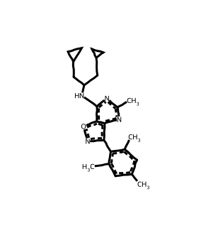 Cc1cc(C)c(-c2noc3c(NC(CC4CC4)CC4CC4)nc(C)nc23)c(C)c1